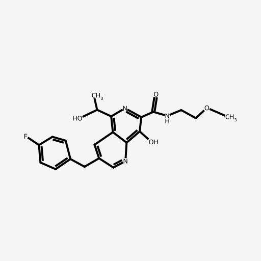 COCCNC(=O)c1nc(C(C)O)c2cc(Cc3ccc(F)cc3)cnc2c1O